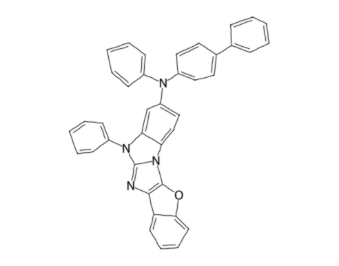 c1ccc(-c2ccc(N(c3ccccc3)c3ccc4c(c3)n(-c3ccccc3)c3nc5c6ccccc6oc5n43)cc2)cc1